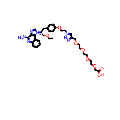 CCOC[C@H](Cc1ccc(OCCn2cc(COCCOCCOCCOCC(=O)O)nn2)cc1)n1cnc2c(N)nc3ccccc3c21